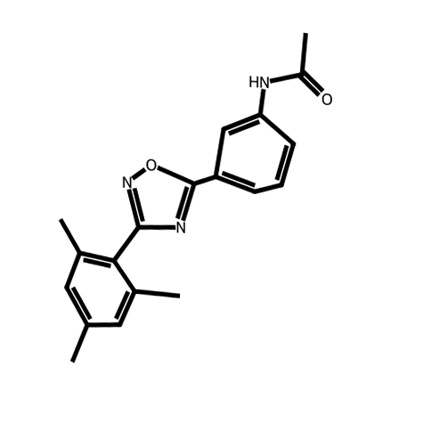 CC(=O)Nc1cccc(-c2nc(-c3c(C)cc(C)cc3C)no2)c1